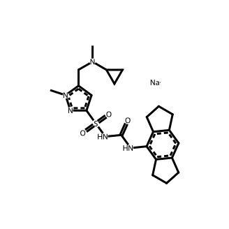 CN(Cc1cc(S(=O)(=O)NC(=O)Nc2c3c(cc4c2CCC4)CCC3)nn1C)C1CC1.[Na]